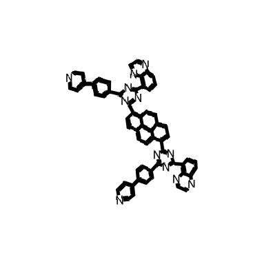 c1cc(-c2nc(-c3ccc(-c4ccncc4)cc3)nc(-c3ccc4ccc5c(-c6nc(-c7ccc(-c8ccncc8)cc7)nc(-c7cccc8nccnc78)n6)ccc6ccc3c4c65)n2)c2nccnc2c1